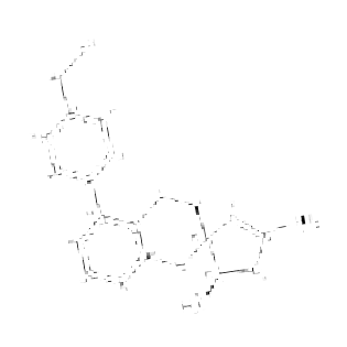 C[C@@H]1OC(N)=N[C@]12CCc1c(cccc1-c1cnc(CF)nc1)C2